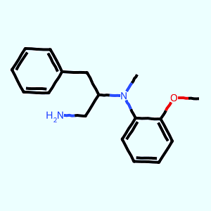 COc1ccccc1N(C)C(CN)Cc1ccccc1